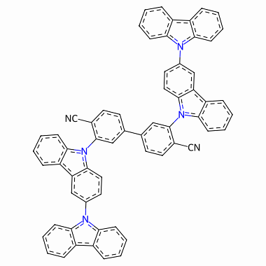 N#Cc1ccc(-c2ccc(C#N)c(-n3c4ccccc4c4cc(-n5c6ccccc6c6ccccc65)ccc43)c2)cc1-n1c2ccccc2c2cc(-n3c4ccccc4c4ccccc43)ccc21